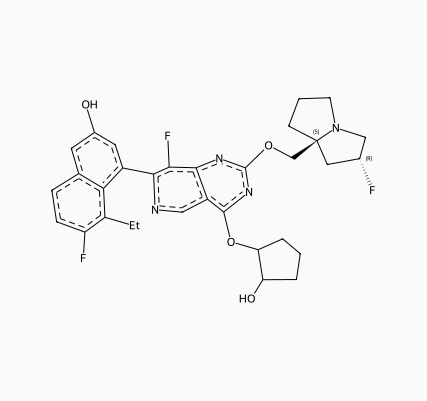 CCc1c(F)ccc2cc(O)cc(-c3ncc4c(OC5CCCC5O)nc(OC[C@@]56CCCN5C[C@H](F)C6)nc4c3F)c12